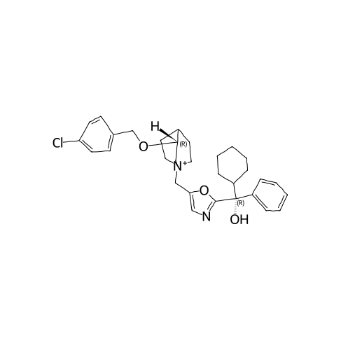 O[C@](c1ccccc1)(c1ncc(C[N+]23CCC(CC2)[C@@H](OCc2ccc(Cl)cc2)C3)o1)C1CCCCC1